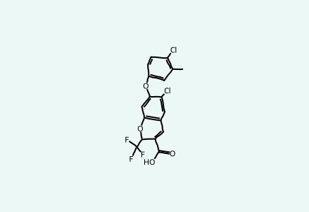 Cc1cc(Oc2cc3c(cc2Cl)C=C(C(=O)O)C(C(F)(F)F)O3)ccc1Cl